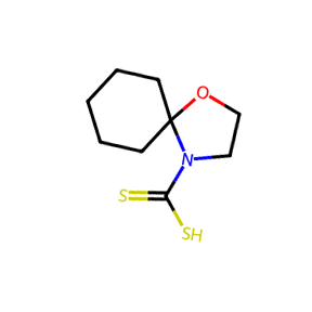 S=C(S)N1CCOC12CCCCC2